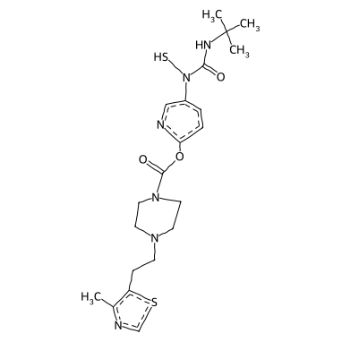 Cc1ncsc1CCN1CCN(C(=O)Oc2ccc(N(S)C(=O)NC(C)(C)C)cn2)CC1